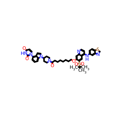 CC(C)(C)S(=O)(=O)c1cc2c(Nc3ccc4scnc4c3)ccnc2cc1OCCCCCCCC(=O)N1CCC(n2ccc3c(-n4ccc(=O)[nH]c4=O)cccc32)CC1